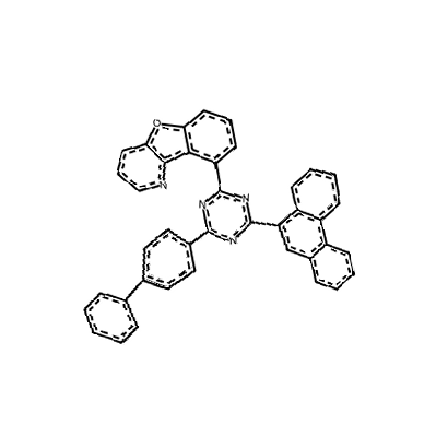 c1ccc(-c2ccc(-c3nc(-c4cc5ccccc5c5ccccc45)nc(-c4cccc5oc6cccnc6c45)n3)cc2)cc1